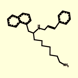 NCCCCCCCC(Cc1cccc2ccccc12)NCC=Cc1ccccc1